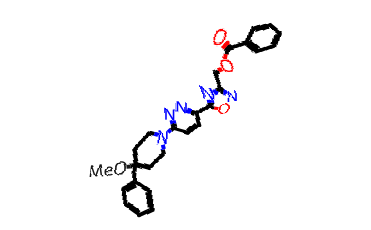 COC1(c2ccccc2)CCN(c2ccc(-c3nc(COC(=O)c4ccccc4)no3)nn2)CC1